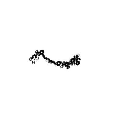 CC[C@@H]1C(=O)N(C)c2cnc(Nc3ccc(C(=O)NC4CCN(CCNCCCOCCC#Cc5cccc6c5CN(C5CCC(=O)NC5=O)C6=O)CC4)cc3OC)nc2N1C1CCCC1